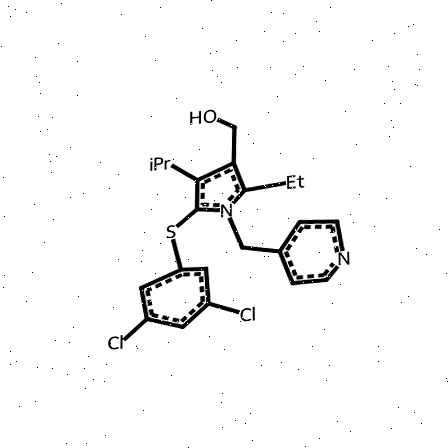 CCc1c(CO)c(C(C)C)c(Sc2cc(Cl)cc(Cl)c2)n1Cc1ccncc1